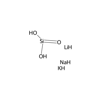 O=[Si](O)O.[KH].[LiH].[NaH]